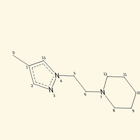 Cc1cnn(CCN2CCCCC2)c1